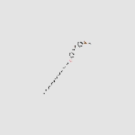 CCCCCCCCCCCCCCCCCCCOc1ccc(C=CC(=O)c2ccc(SCCC)cc2)cc1